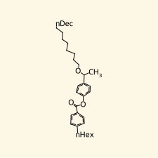 CCCCCCCCCCCCCCCCCCOC(C)c1ccc(OC(=O)c2ccc(CCCCCC)cc2)cc1